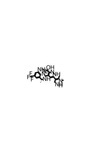 CN/C(C)=C(\C=N)C1=Cc2c(N[C@H](C)c3cc(N)cc(C(F)(F)F)c3)nn(C)c(=O)c2NN1